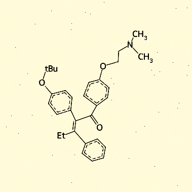 CCC(=C(C(=O)c1ccc(OCCN(C)C)cc1)c1ccc(OC(C)(C)C)cc1)c1ccccc1